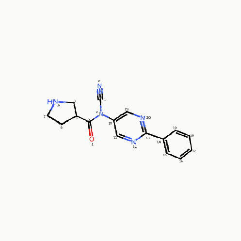 N#CN(C(=O)C1CCNC1)c1cnc(-c2ccccc2)nc1